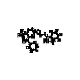 NC(CCOc1ccc(C(F)(F)F)c(C(=O)c2cccnc2)n1)c1ccccc1